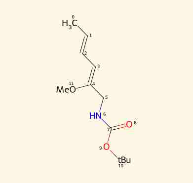 C/C=C/C=C(/CNC(=O)OC(C)(C)C)OC